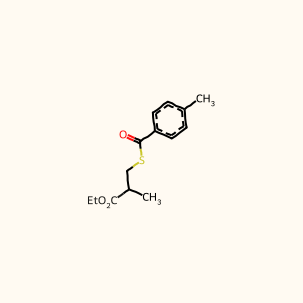 CCOC(=O)C(C)CSC(=O)c1ccc(C)cc1